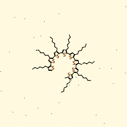 CCCCCCc1cc(-c2sc(-c3sc(-c4sc(-c5sc(-c6sc(-c7sc(-c8sccc8CCCCCC)cc7CCCCCC)cc6CCCCCC)cc5CCCCCC)cc4CCCCCC)cc3CCCCCC)cc2CCCCCC)sc1C